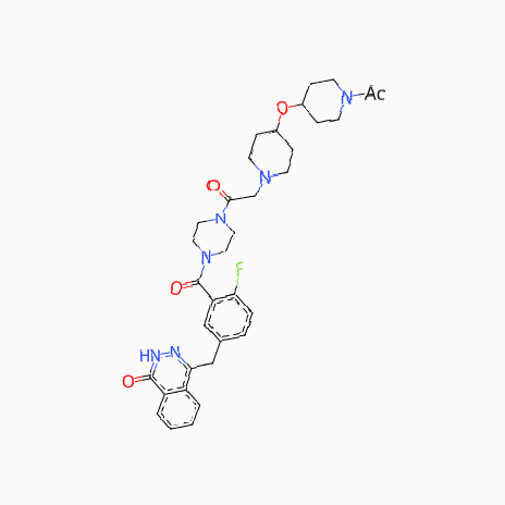 CC(=O)N1CCC(OC2CCN(CC(=O)N3CCN(C(=O)c4cc(Cc5n[nH]c(=O)c6ccccc56)ccc4F)CC3)CC2)CC1